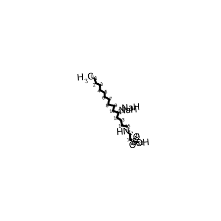 CCCCCCCCCCCCCCCCNCCS(=O)(=O)O.[NaH].[NaH]